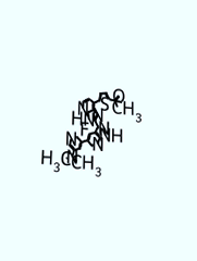 CC(=O)c1ccc(-c2ccnc3[nH]c(-c4n[nH]c5ncc(-c6cncc(N(C)C)c6)c(F)c45)nc23)s1